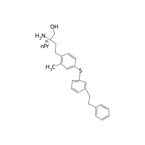 CCC[C@](N)(CO)CCc1ccc(Sc2cccc(CCc3ccccc3)c2)cc1C